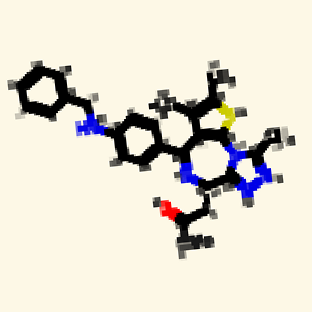 COC(=O)C[C@@H]1N=C(c2ccc(NCc3ccccc3)cc2)c2c(sc(C)c2C)-n2c(C)nnc21